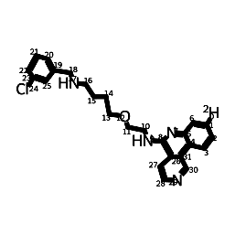 [2H]c1ccc2c(c1)nc(NCCOCCCCNCc1cccc(Cl)c1)c1ccncc12